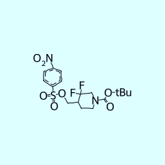 CC(C)(C)OC(=O)N1CCC(COS(=O)(=O)c2ccc([N+](=O)[O-])cc2)C(F)(F)C1